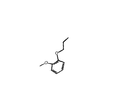 CCCOc1ccc[c]c1OC